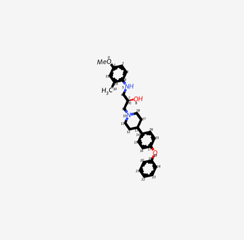 COc1ccc(NC[C@@H](O)CN2CCC(c3ccc(Oc4ccccc4)cc3)CC2)c(C)c1